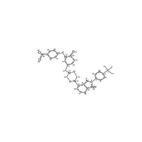 CC(C)(C)c1ccc(-c2nc3c(N4CCN(Cc5ccc(=O)n(Cc6ccc([N+](=O)[O-])cc6)c5)CC4)cccc3[nH]2)cc1